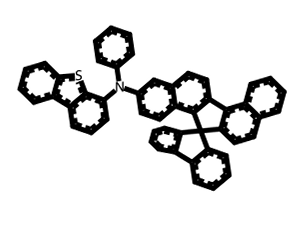 c1ccc(N(c2ccc3c4c(ccc3c2)-c2c(ccc3ccccc23)C42c3ccccc3-c3ccccc32)c2cccc3c2sc2ccccc23)cc1